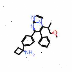 COC[C](C)c1c(-c2ccccc2)c(-c2ccc(C3(N)CCC3)cc2)nc2nccn12